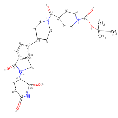 CC(C)(C)OC(=O)N1CCC(C(=O)N2CCC(c3ccc4c(c3)CN(C3CCC(=O)NC3=O)C4=O)CC2)CC1